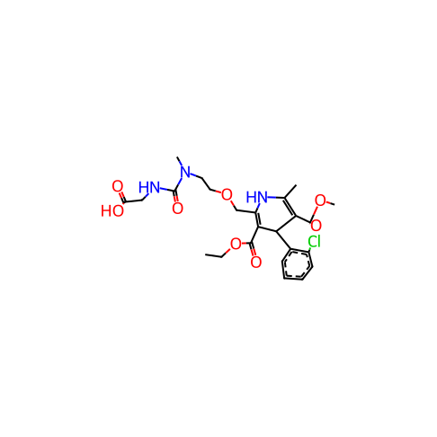 CCOC(=O)C1=C(COCCN(C)C(=O)NCC(=O)O)NC(C)=C(C(=O)OC)C1c1ccccc1Cl